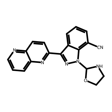 N#Cc1cccc2c(-c3ccc4ncccc4n3)nn(C3NCCO3)c12